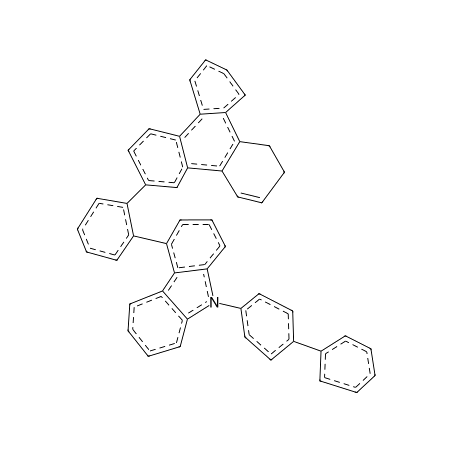 C1=Cc2c(c3ccccc3c3ccc(-c4ccccc4-c4cccc5c4c4ccccc4n5-c4ccc(-c5ccccc5)cc4)cc23)CC1